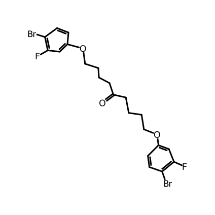 O=C(CCCCOc1ccc(Br)c(F)c1)CCCCOc1ccc(Br)c(F)c1